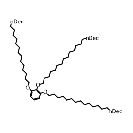 CCCCCCCCCCCCCCCCCCCCCCCCOc1c[c]cc(OCCCCCCCCCCCCCCCCCCCCCCCC)c1OCCCCCCCCCCCCCCCCCCCCCCCC